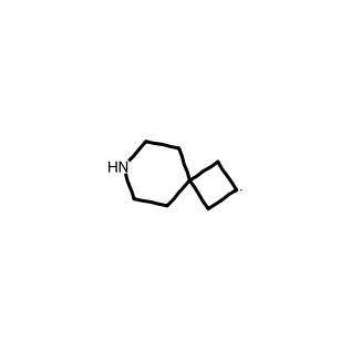 [CH]1CC2(C1)CCNCC2